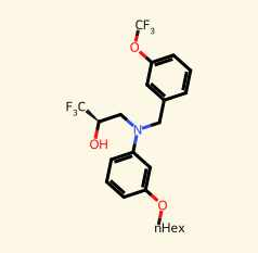 CCCCCCOc1cccc(N(Cc2cccc(OC(F)(F)F)c2)C[C@@H](O)C(F)(F)F)c1